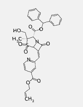 C=CCOC(=O)c1ccnc(/C=C2/C(=O)N3C2S(=O)(=O)[C@@](C)(CO)[C@@H]3C(=O)OC(c2ccccc2)c2ccccc2)c1